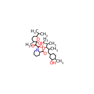 CC(C)C1CCC(C)C(O)(C(=O)C(=O)N2CCCCC2C(=O)OC(C(C)C)C(C)CC2CCC(C)C(O)C2)O1